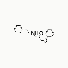 c1ccc(CCNCC2COc3ccccc3O2)cc1